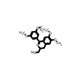 COc1cc(OC)cc(C2=NC(CO)Cc3cc(OC)c(OC)cc32)c1